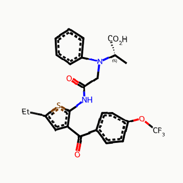 CCc1cc(C(=O)c2ccc(OC(F)(F)F)cc2)c(NC(=O)CN(c2ccccc2)[C@@H](C)C(=O)O)s1